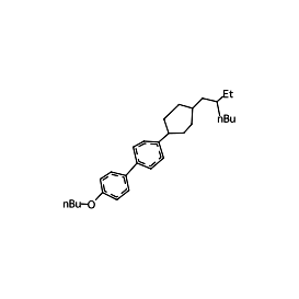 CCCCOc1ccc(-c2ccc(C3CCC(CC(CC)CCCC)CC3)cc2)cc1